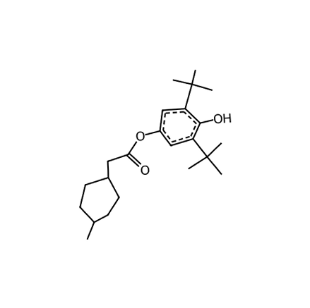 CC1CCC(CC(=O)Oc2cc(C(C)(C)C)c(O)c(C(C)(C)C)c2)CC1